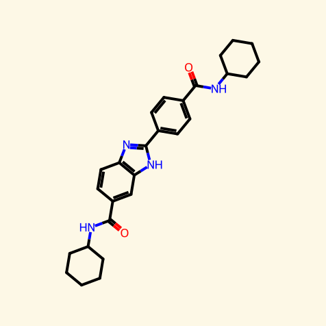 O=C(NC1CCCCC1)c1ccc(-c2nc3ccc(C(=O)NC4CCCCC4)cc3[nH]2)cc1